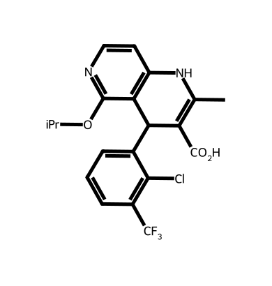 CC1=C(C(=O)O)C(c2cccc(C(F)(F)F)c2Cl)c2c(ccnc2OC(C)C)N1